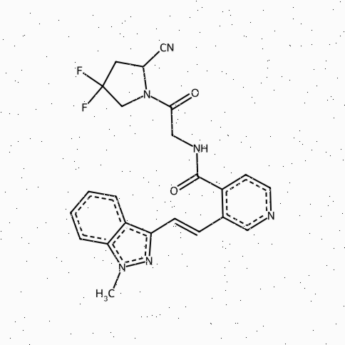 Cn1nc(C=Cc2cnccc2C(=O)NCC(=O)N2CC(F)(F)CC2C#N)c2ccccc21